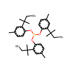 Cc1ccc(OP(Oc2ccc(C)cc2C(C)(C)CC(C)(C)C)Oc2ccc(C)cc2C(C)(C)CC(C)(C)C)c(C(C)(C)CC(C)(C)C)c1